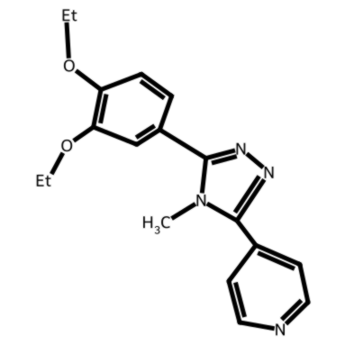 CCOc1ccc(-c2nnc(-c3ccncc3)n2C)cc1OCC